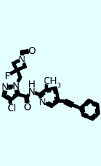 Cc1cc(C#Cc2ccccc2)cnc1NC(=O)c1c(Cl)cnn1CC1(F)CN(C=O)C1